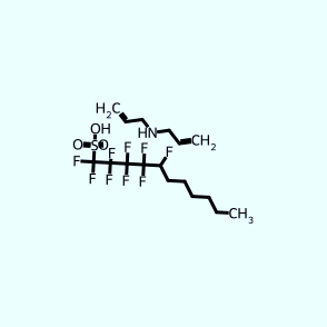 C=CCNCC=C.CCCCCCC(F)C(F)(F)C(F)(F)C(F)(F)C(F)(F)S(=O)(=O)O